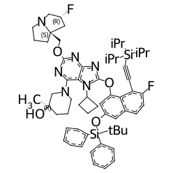 CC(C)[Si](C#Cc1c(F)ccc2cc(O[Si](c3ccccc3)(c3ccccc3)C(C)(C)C)cc(Oc3nc4nc(OC[C@@]56CCCN5C[C@H](F)C6)nc(N5CCC[C@@](C)(O)C5)c4n3C3CCC3)c12)(C(C)C)C(C)C